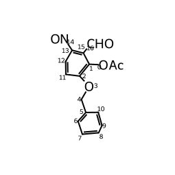 CC(=O)Oc1c(OCc2ccccc2)ccc(N=O)c1C=O